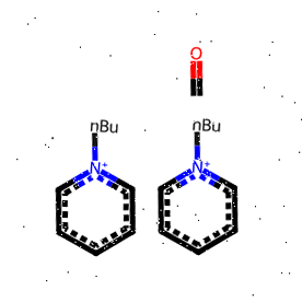 C=O.CCCC[n+]1ccccc1.CCCC[n+]1ccccc1